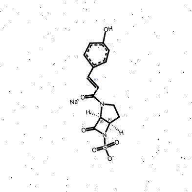 O=C(/C=C/c1ccc(O)cc1)N1CC[C@@H]2[C@H]1C(=O)N2S(=O)(=O)[O-].[Na+]